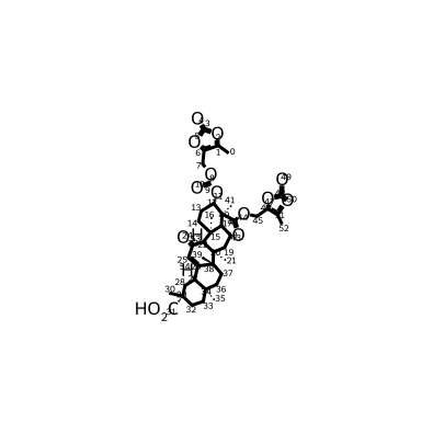 Cc1oc(=O)oc1COC(=O)O[C@H]1CC[C@@]2(C)C(CC[C@]3(C)[C@@H]2C(=O)C=C2[C@@H]4C[C@@](C)(C(=O)O)CC[C@]4(C)CC[C@]23C)[C@]1(C)C(=O)OCc1oc(=O)oc1C